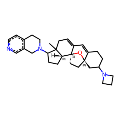 CC12CC=C3C=C4CCC(N5CCC5)C[C@]45CC[C@]3(O5)[C@@H]1CCC2N1CCc2ccncc2C1